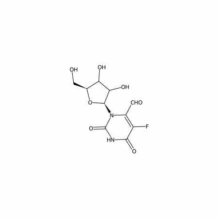 O=Cc1c(F)c(=O)[nH]c(=O)n1[C@H]1O[C@@H](CO)C(O)C1O